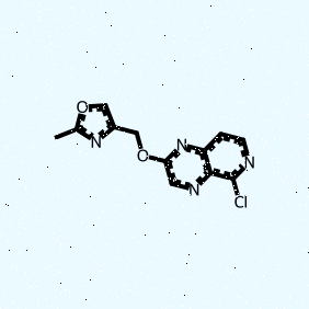 Cc1nc(COc2cnc3c(Cl)nccc3n2)co1